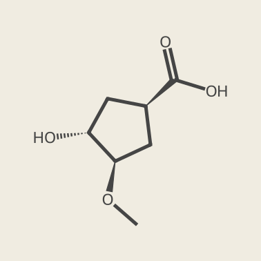 CO[C@@H]1C[C@H](C(=O)O)C[C@H]1O